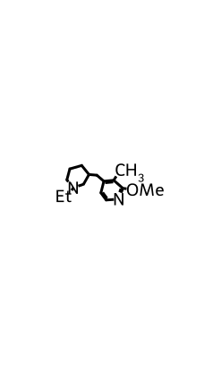 CCN1CCCC(Cc2ccnc(OC)c2C)C1